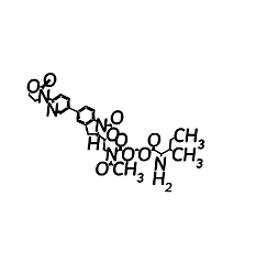 CCC(C)[C@@H](N)C(=O)OCOC(=O)N(C[C@@H]1OC(=O)N2c3ccc(-c4ccc(N5CCOC5=O)nc4)cc3C[C@@H]12)C(C)=O